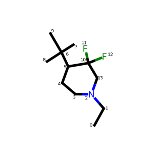 CCN1CCC(C(C)(C)C)C(F)(F)C1